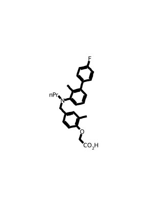 CCCN(Cc1ccc(OCC(=O)O)c(C)c1)c1cccc(-c2ccc(F)cc2)c1C